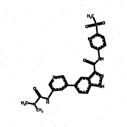 CN(C)C(=O)Nc1cncc(-c2ccc3[nH]nc(C(=O)Nc4ccc(S(C)(=O)=O)nc4)c3c2)c1